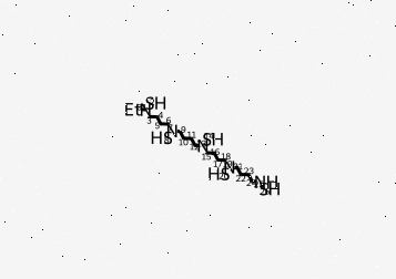 CCN(S)CCCCN(S)CCCCN(S)CCCCN(S)CCCCNS